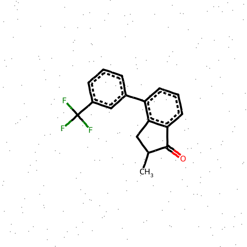 CC1Cc2c(cccc2-c2cccc(C(F)(F)F)c2)C1=O